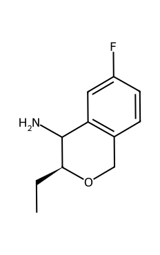 CC[C@@H]1OCc2ccc(F)cc2C1N